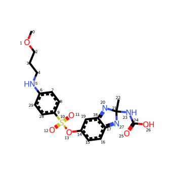 COCCCNc1ccc(S(=O)(=O)Oc2ccc3c(c2)=NC(C)(NC(=O)O)N=3)cc1